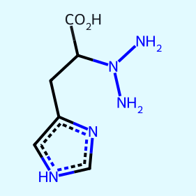 NN(N)C(Cc1c[nH]cn1)C(=O)O